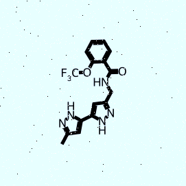 Cc1cc(-c2cc(CNC(=O)c3ccccc3OC(F)(F)F)n[nH]2)[nH]n1